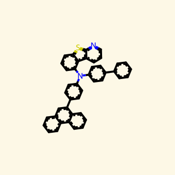 c1ccc(-c2ccc(N(c3ccc(-c4cc5ccccc5c5ccccc45)cc3)c3cccc4sc5ncccc5c34)cc2)cc1